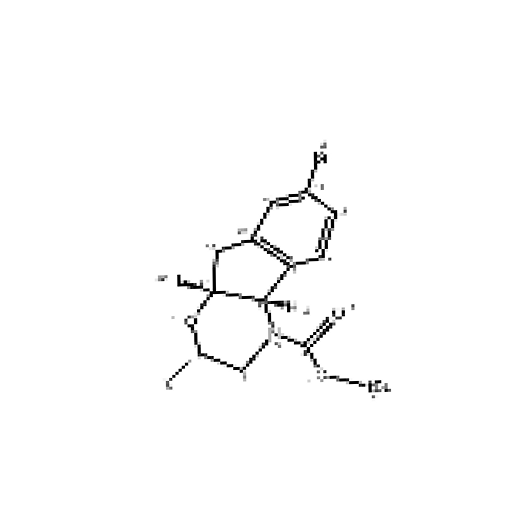 C[C@H]1CN(C(=O)OC(C)(C)C)[C@H]2c3ccc(Br)cc3C[C@H]2O1